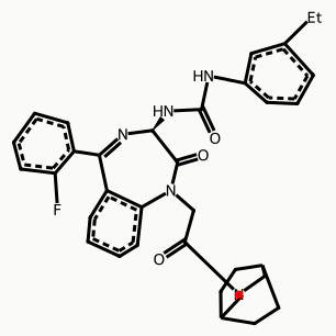 CCc1cccc(NC(=O)N[C@@H]2N=C(c3ccccc3F)c3ccccc3N(CC(=O)N3CC4CCC(CC4)C3)C2=O)c1